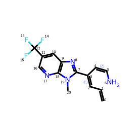 C=C/C=C(\C=C/N)c1nc2cc(C(F)(F)F)cnc2n1C